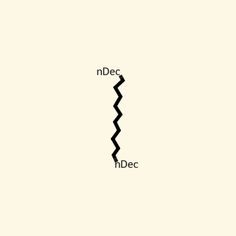 CCCCCCCC[CH]CCCCCCCCCCCCCCCCCCCCC